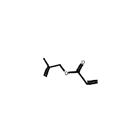 C=CC(=O)OCC(=C)C